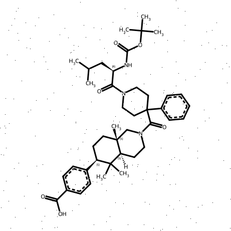 CC(C)C[C@@H](NC(=O)OC(C)(C)C)C(=O)N1CCC(C(=O)N2CC[C@H]3C(C)(C)[C@@H](c4ccc(C(=O)O)cc4)CC[C@]3(C)C2)(c2ccccc2)CC1